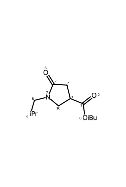 CC(C)COC(=O)C1CC(=O)N(CC(C)C)C1